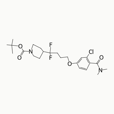 CN(C)C(=O)c1ccc(OCCCC(F)(F)C2CCN(C(=O)OC(C)(C)C)CC2)cc1Cl